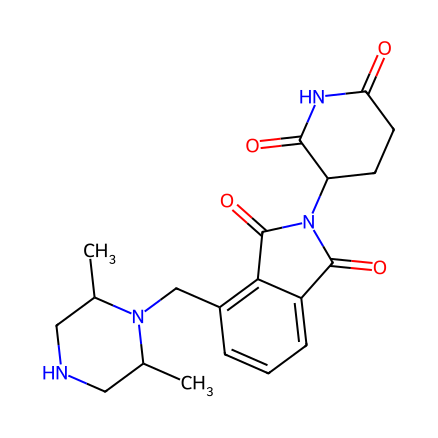 CC1CNCC(C)N1Cc1cccc2c1C(=O)N(C1CCC(=O)NC1=O)C2=O